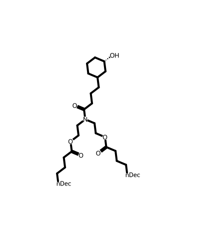 CCCCCCCCCCCCCC(=O)OCCN(CCOC(=O)CCCCCCCCCCCCC)C(=O)CCCC1CCC[C@H](O)C1